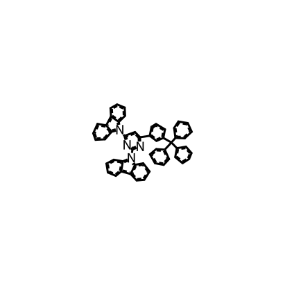 c1ccc(C(c2ccccc2)(c2ccccc2)c2cccc(-c3cc(-n4c5ccccc5c5ccccc54)nc(-n4c5ccccc5c5ccccc54)n3)c2)cc1